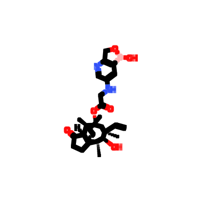 C=C[C@]1(C)C[C@@H](OC(=O)CNc2cnc3c(c2)B(O)OC3)[C@]2(C)[C@H](C)CC[C@]3(CCC(=O)[C@H]32)[C@@H](C)[C@@H]1O